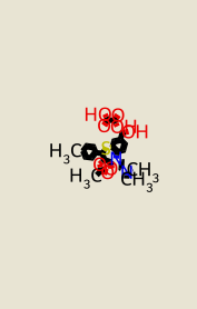 CC(=O)OC1C(=O)N(CCN(C)C)c2ccc(CO)cc2SC1c1ccc(C)cc1.O=C(O)C(=O)O